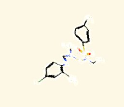 CCN(SN(C)C=Nc1ccc(Cl)cc1C)S(=O)(=O)c1ccc(C)cc1